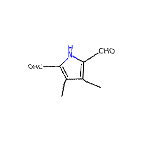 Cc1c(C=O)[nH]c(C=O)c1C